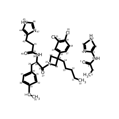 CCC(=O)Nc1c[nH]cn1.CCCCCC1(c2ccc(Cl)c(Cl)c2)CN(C(=O)[C@@H](Cc2ccc(OC)cc2)NC(=O)CCc2c[nH]cn2)C1